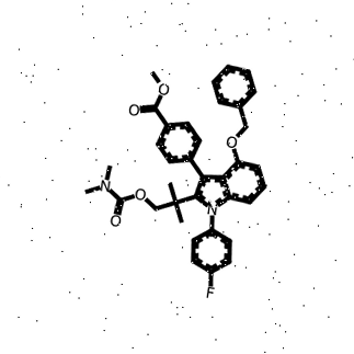 COC(=O)c1ccc(-c2c(C(C)(C)COC(=O)N(C)C)n(-c3ccc(F)cc3)c3cccc(OCc4ccccc4)c23)cc1